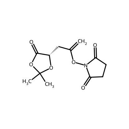 C=C(C[C@@H]1OC(C)(C)OC1=O)ON1C(=O)CCC1=O